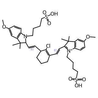 COc1ccc2c(c1)C(C)(C)C(/C=C/C1=C(Cl)C(/C=C/C3N(CCCCS(=O)(=O)O)c4ccc(OC)cc4C3(C)C)CCC1)=[N+]2CCCCS(=O)(=O)O